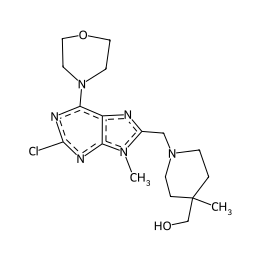 Cn1c(CN2CCC(C)(CO)CC2)nc2c(N3CCOCC3)nc(Cl)nc21